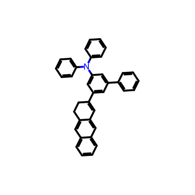 C1=C(c2cc(-c3ccccc3)cc(N(c3ccccc3)c3ccccc3)c2)CCc2cc3ccccc3cc21